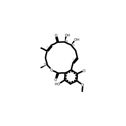 COc1cc(O)c2c(c1Cl)/C=C/C[C@H](O)[C@H](O)C(=O)/C=C(/C)C[C@H](C)OC2=O